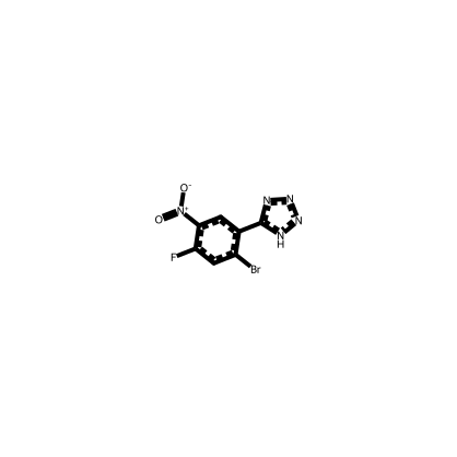 O=[N+]([O-])c1cc(-c2nnn[nH]2)c(Br)cc1F